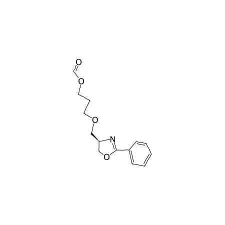 O=COCCCOC[C@@H]1COC(c2ccccc2)=N1